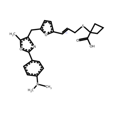 Cc1oc(-c2ccc(N(C)C)cc2)nc1Cc1ccc(/C=C/CSC2(C(=O)O)CCC2)o1